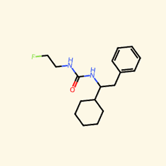 O=C(NCCF)NC(Cc1ccccc1)C1CCCCC1